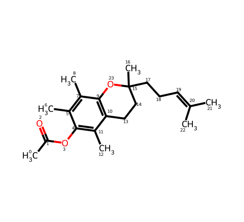 CC(=O)Oc1c(C)c(C)c2c(c1C)CCC(C)(CCC=C(C)C)O2